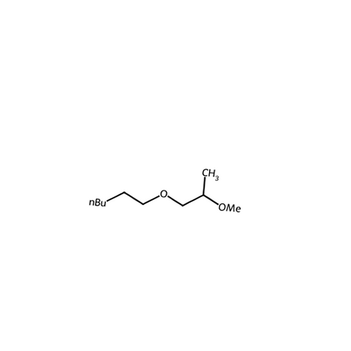 CCCCCCOCC(C)OC